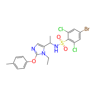 CCn1c(C(C)NS(=O)(=O)c2c(Cl)cc(Br)cc2Cl)cnc1Oc1ccc(C)cc1